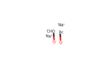 CC(=O)[O-].O=C[O-].[Na+].[Na+]